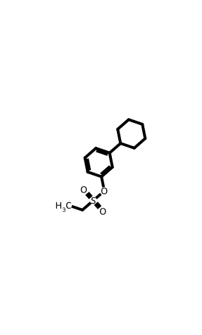 CCS(=O)(=O)Oc1cccc(C2CCCCC2)c1